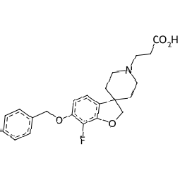 O=C(O)CCN1CCC2(CC1)COc1c2ccc(OCc2ccccc2)c1F